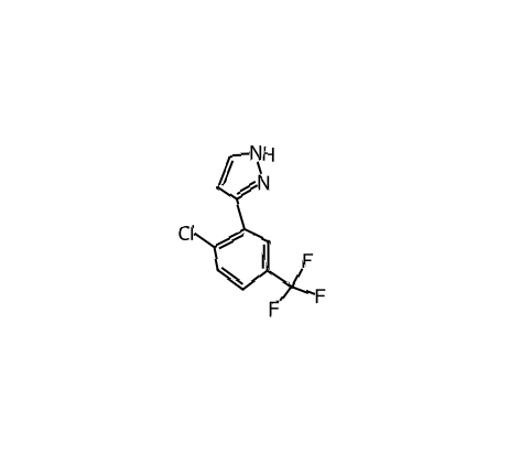 FC(F)(F)c1ccc(Cl)c(-c2cc[nH]n2)c1